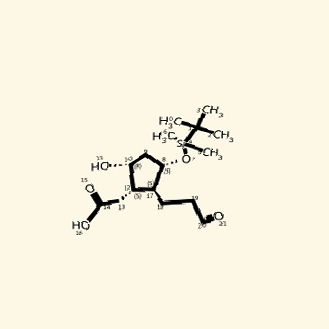 CC(C)(C)[Si](C)(C)O[C@H]1C[C@@H](O)[C@@H](CC(=O)O)[C@@H]1CCC=O